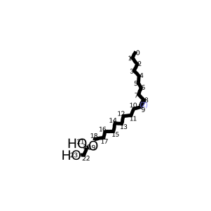 CCCCCCCC/C=C\CCCCCCCCCOC(O)CO